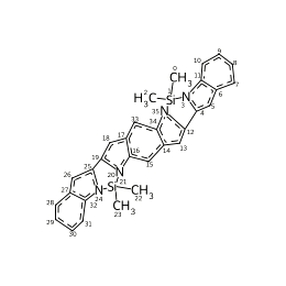 C[Si]1(C)n2c(cc3ccccc32)-c2cc3cc4c(cc5n4[Si](C)(C)n4c-5cc5ccccc54)cc3n21